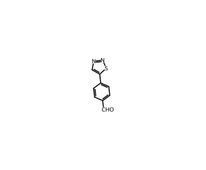 O=Cc1ccc(-c2cnns2)cc1